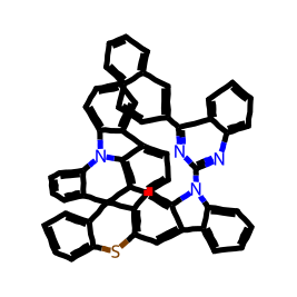 c1ccc2c(c1)Sc1cc3c4ccccc4n(-c4nc(-c5ccc6ccccc6c5)c5ccccc5n4)c3cc1C21c2ccccc2-n2c3ccccc3c3cccc1c32